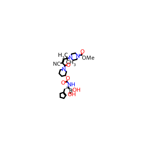 COC(=O)N1CCN(C(C)(C)C=C(C#N)C(=O)N2CCCC(OC(=O)N[C@@H](CC3=CCCC3)B(O)O)C2)CC1